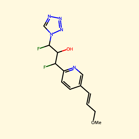 COCC=Cc1ccc(C(F)C(O)C(F)n2cnnn2)nc1